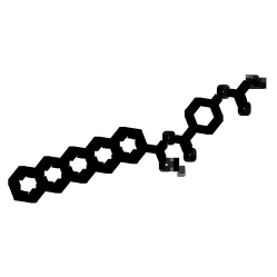 CCC(C)C(=O)OC1CCC(C(=O)OC(C)c2ccc3cc4cc5cc6ccccc6cc5cc4cc3c2)CC1